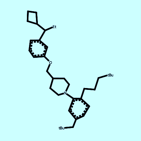 CCC(c1cccc(OCC2CCN(c3cc(CC(C)(C)C)ccc3CCCC(C)(C)C)CC2)c1)C1CCC1